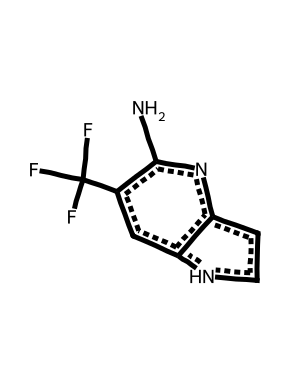 Nc1nc2cc[nH]c2cc1C(F)(F)F